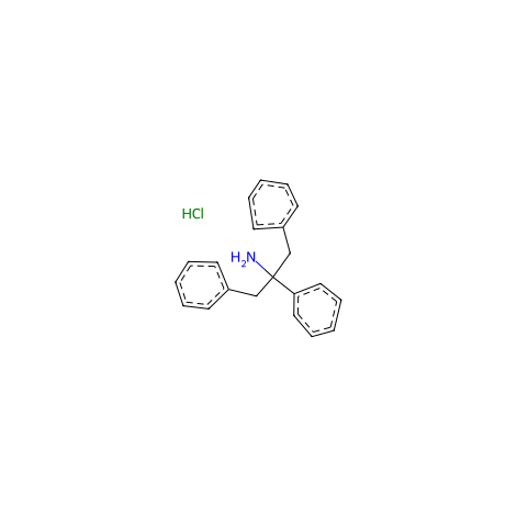 Cl.NC(Cc1ccccc1)(Cc1ccccc1)c1ccccc1